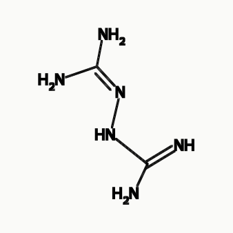 N=C(N)NN=C(N)N